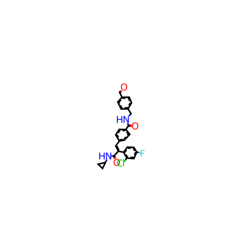 O=Cc1ccc(CNC(=O)c2ccc(/C=C(/C(=O)NC3CC3)c3ccc(F)cc3Cl)cc2)cc1